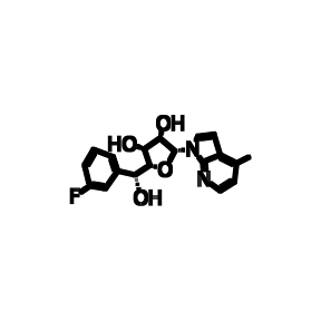 Cc1ccnc2c1ccn2[C@@H]1O[C@H]([C@H](O)c2cccc(F)c2)[C@@H](O)[C@H]1O